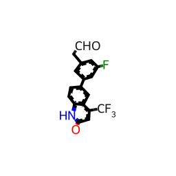 O=CCc1cc(F)cc(-c2ccc3[nH]c(=O)cc(C(F)(F)F)c3c2)c1